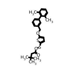 Cc1cccc(C)c1-c1cccc(COc2ccc(SOC(=O)CC(C)(C)C)s2)c1